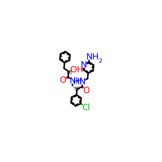 Nc1ccc(CNC(=O)[C@@H](CNC(=O)[C@H](O)Cc2ccccc2)c2cccc(Cl)c2)cn1